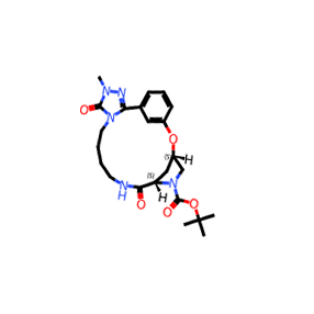 Cn1nc2n(c1=O)CCCCNC(=O)[C@@H]1C[C@@H](CN1C(=O)OC(C)(C)C)Oc1cccc-2c1